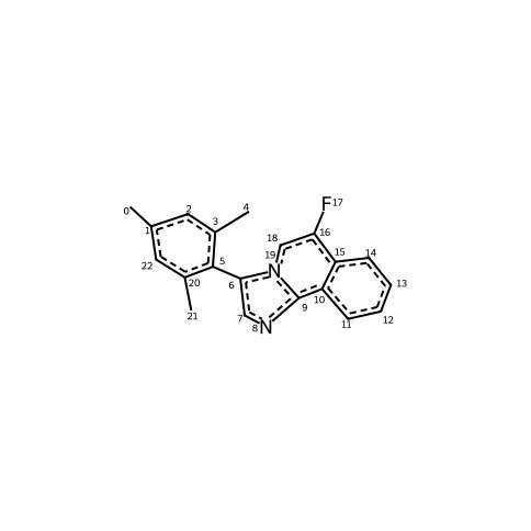 Cc1cc(C)c(-c2cnc3c4ccccc4c(F)cn23)c(C)c1